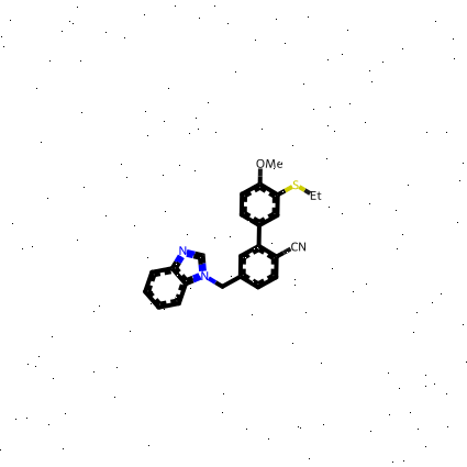 CCSc1cc(-c2cc(Cn3cnc4ccccc43)ccc2C#N)ccc1OC